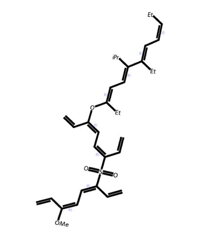 C=C/C(=C\C=C(/C=C)S(=O)(=O)/C(C=C)=C/C=C(\C=C)O/C(=C/C=C(/C(=C/C=C\CC)CC)C(C)C)CC)OC